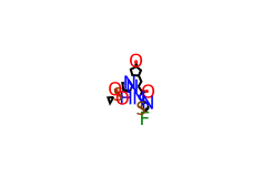 O=C1CCC(CC(C(=O)Nc2ncc(F)s2)n2cc(S(=O)(=O)C3CC3)cn2)C1